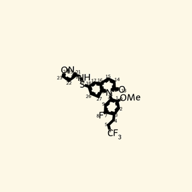 COc1cc(CCC(F)(F)F)c(F)cc1-n1c(=O)ccc2cc(SNc3ccon3)ccc21